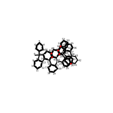 CC1(c2ccccc2)c2ccccc2-c2c(-c3ccccc3N(c3ccccc3-c3cccc4cccc(C5CCCCC5)c34)c3cccc4c5ccccc5n(-c5ccccc5)c34)cccc21